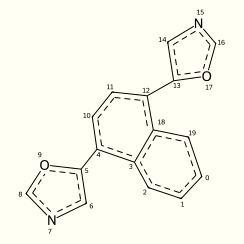 c1ccc2c(-c3cnco3)ccc(-c3cnco3)c2c1